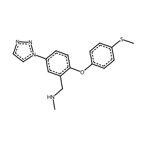 CNCc1cc(-n2ccnn2)ccc1Oc1ccc(SC)cc1